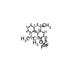 CC(C)c1cccc(CC(C)c2ccc(OC(F)(F)F)cc2)c1